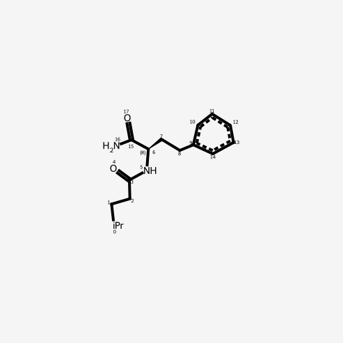 CC(C)CCC(=O)N[C@H](CCc1ccccc1)C(N)=O